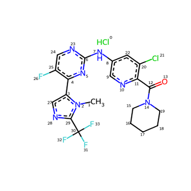 Cl.Cn1c(-c2nc(Nc3cnc(C(=O)N4CCCCC4)c(Cl)c3)ncc2F)cnc1C(F)(F)F